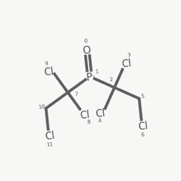 O=[P](C(Cl)(Cl)CCl)C(Cl)(Cl)CCl